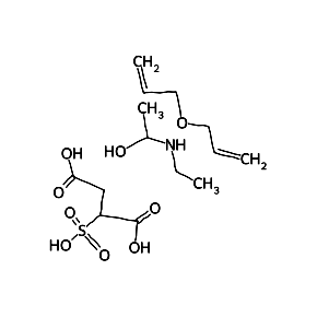 C=CCOCC=C.CCNC(C)O.O=C(O)CC(C(=O)O)S(=O)(=O)O